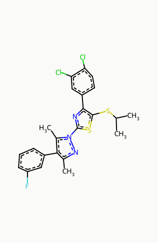 Cc1nn(-c2nc(-c3ccc(Cl)c(Cl)c3)c(SC(C)C)s2)c(C)c1-c1cccc(F)c1